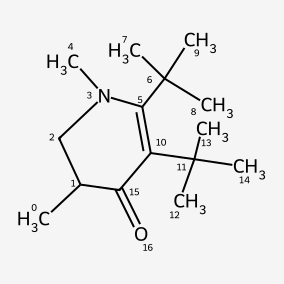 CC1CN(C)C(C(C)(C)C)=C(C(C)(C)C)C1=O